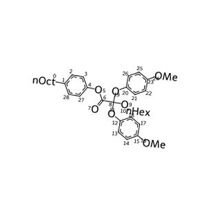 CCCCCCCCc1ccc(OC(=O)C(OCCCCCC)(Oc2ccc(OC)cc2)Oc2ccc(OC)cc2)cc1